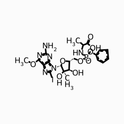 COc1nc(N)nc2c1nc(I)n2[C@@H]1O[C@H](COP(=O)(NC(C)C(=O)O)Oc2ccccc2)[C@@H](O)[C@@]1(C)O